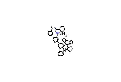 C=C(/C=C(\N=C(/N)C1=CCCC(c2cc3c4c(c2)c2ccccc2n4-c2ccccc2C32c3ccc#cc3-c3ccccc32)=C1)c1ccccc1)c1ccccc1